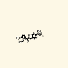 CC(C)Cn1c(C(=O)NCc2cnc(N(C)C)nc2)ccc1C(F)(F)F